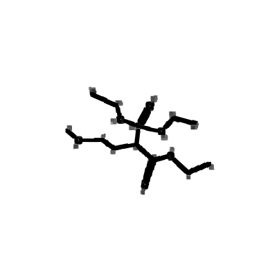 CCOC(=O)C(CCOC)P(=O)(OCC)OCC